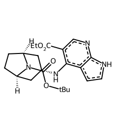 CCOC(=O)c1cnc2[nH]ccc2c1N[C@@H]1C[C@H]2CC[C@@H](C1)N2C(=O)OC(C)(C)C